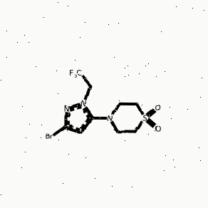 O=S1(=O)CCN(c2cc(Br)nn2CC(F)(F)F)CC1